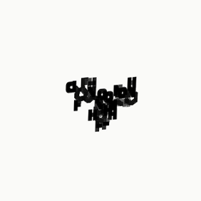 N#C[C@H](C[C@H]1CCCNC1=O)NC(=O)[C@@H]1[C@H]2CC(F)(F)C[C@H]2CN1C(=O)c1cc2c(F)cc(Cl)c(F)c2[nH]1